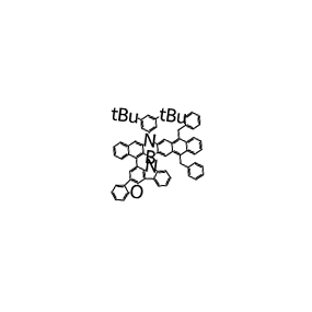 CC(C)(C)c1cc(N2c3cc4c(Cc5ccccc5)c5ccccc5c(Cc5ccccc5)c4cc3B3c4c2cc2ccccc2c4-c2cc4c5ccccc5oc4c4c5ccccc5n3c24)cc(C(C)(C)C)c1